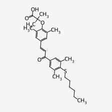 CCCCCCSc1c(C)cc(C(=O)C=Cc2cc(C)c(OC(C)(C)C(=O)O)c(C)c2)cc1C